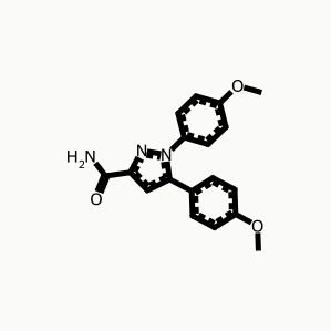 COc1ccc(-c2cc(C(N)=O)nn2-c2ccc(OC)cc2)cc1